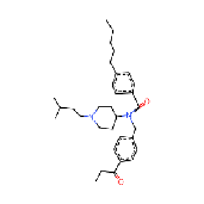 CCCCCc1ccc(C(=O)N(Cc2ccc(C(=O)CC)cc2)C2CCN(CCC(C)C)CC2)cc1